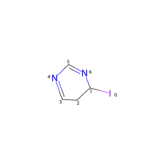 IC1CC=NC=N1